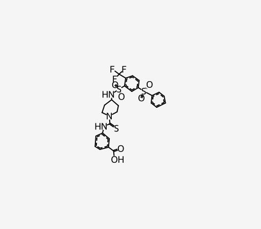 O=C(O)c1cccc(NC(=S)N2CCC(NS(=O)(=O)c3cc(S(=O)(=O)c4ccccc4)ccc3C(F)(F)F)CC2)c1